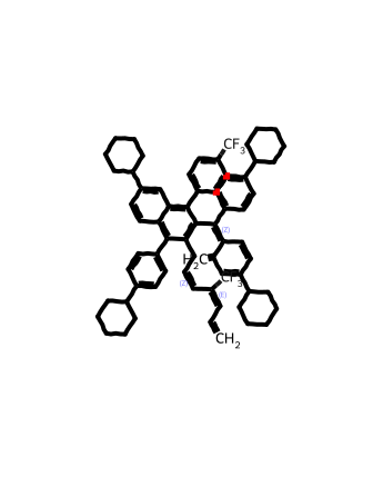 C=C/C=C(\C=C/Cc1c(/C(c2ccc(C3CCCCC3)cc2)=c2/ccc(C3CCCCC3)cc2=C)c(-c2ccc(C(F)(F)F)cc2)c2cc(C3CCCCC3)ccc2c1-c1ccc(C2CCCCC2)cc1)C(F)(F)F